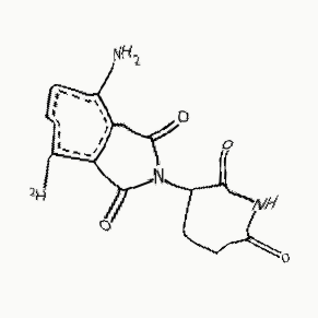 [2H]c1ccc(N)c2c1C(=O)N(C1CCC(=O)NC1=O)C2=O